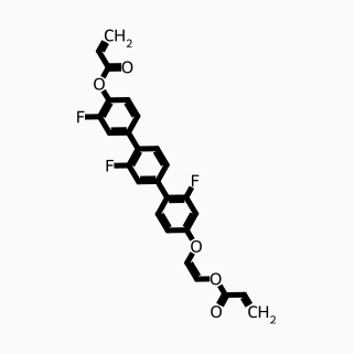 C=CC(=O)O/C=C\Oc1ccc(-c2ccc(-c3ccc(OC(=O)C=C)c(F)c3)c(F)c2)c(F)c1